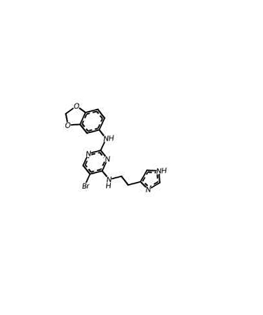 Brc1cnc(Nc2ccc3c(c2)OCO3)nc1NCCc1c[nH]cn1